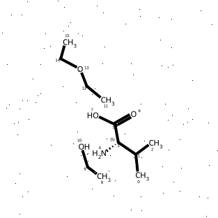 CC(C)[C@H](N)C(=O)O.CCO.CCOCC